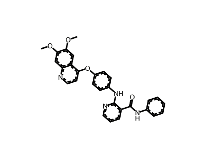 COc1cc2nccc(Oc3ccc(Nc4ncccc4C(=O)Nc4ccccc4)cc3)c2cc1OC